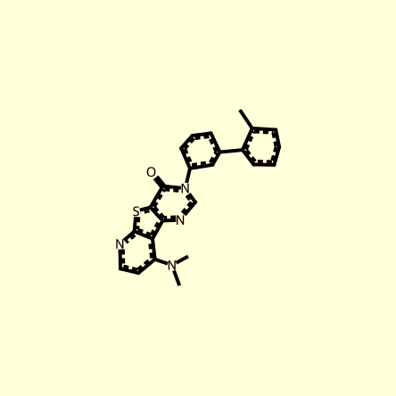 Cc1ccccc1-c1cccc(-n2cnc3c(sc4nccc(N(C)C)c43)c2=O)c1